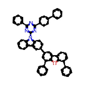 c1ccc(-c2ccc(-c3nc(-c4ccccc4)nc(-n4c5ccccc5c5cc(-c6cc(-c7ccccc7)c7oc8c(-c9ccccc9)cccc8c7c6)ccc54)n3)cc2)cc1